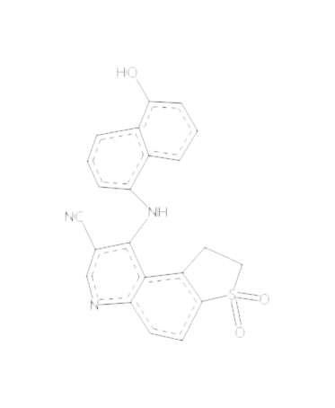 N#Cc1cnc2ccc3c(c2c1Nc1cccc2c(O)cccc12)CCS3(=O)=O